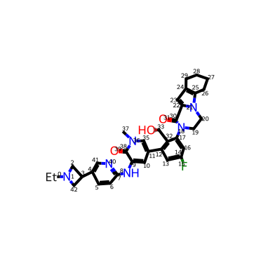 CCN1CC(c2ccc(Nc3cc(-c4cc(F)cc(N5CCn6c(cc7c6CCCC7)C5=O)c4CO)cn(C)c3=O)nc2)C1